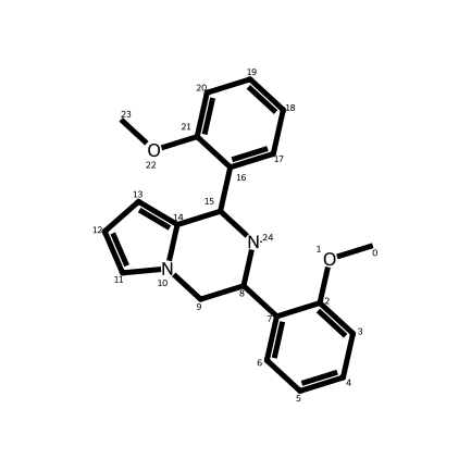 COc1ccccc1C1Cn2cccc2C(c2ccccc2OC)[N]1